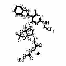 Cc1nc(NCC(F)(F)F)nc(N[C@@H]2C[C@H](COC(=O)[C@@H](NC(=O)OC(C)(C)C)C(C)C)[C@H]3OC(C)(C)O[C@H]32)c1-c1nc2ccccc2s1